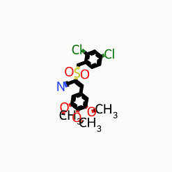 COc1cc(C=C(C#N)S(=O)(=O)Cc2ccc(Cl)cc2Cl)cc(OC)c1OC